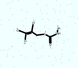 CC(C)NC(=O)SCC(Cl)=C(Cl)Cl